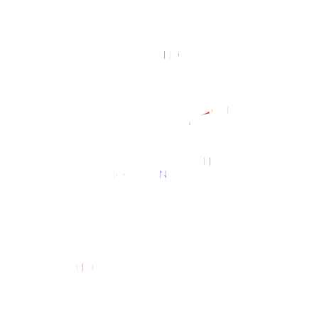 Cc1ccccc1C[C@]1(O)C[C@H]2CN(CC(O)c3ccc(O)cc3)C[C@H]2C1